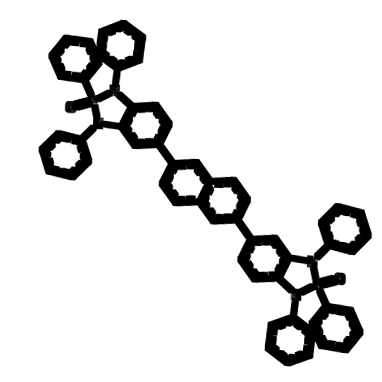 O=P1(c2ccccc2)N(c2ccccc2)c2ccc(-c3ccc4cc(-c5ccc6c(c5)N(c5ccccc5)P(=O)(c5ccccc5)N6c5ccccc5)ccc4c3)cc2N1c1ccccc1